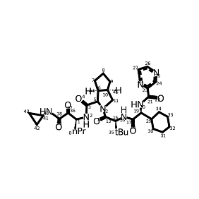 CCC[C@H](NC(=O)C1[C@H]2CCC[C@H]2CN1C(=O)[C@@H](NC(=O)[C@@H](NC(=O)c1cnccn1)C1CCCCC1)C(C)(C)C)C(=O)C(=O)NC1CC1